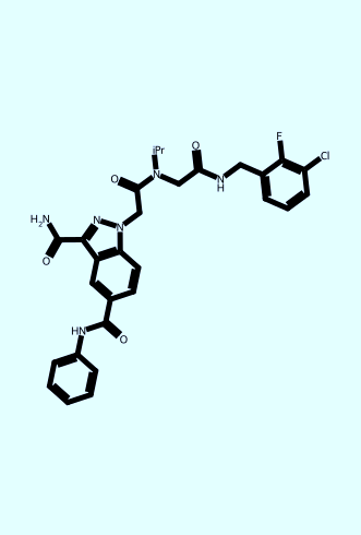 CC(C)N(CC(=O)NCc1cccc(Cl)c1F)C(=O)Cn1nc(C(N)=O)c2cc(C(=O)Nc3ccccc3)ccc21